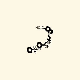 CC(C)(CCn1ccc2ccc(C(=O)O)cc21)NCC(O)c1cccc(NS(=O)(=O)c2ccccc2)c1